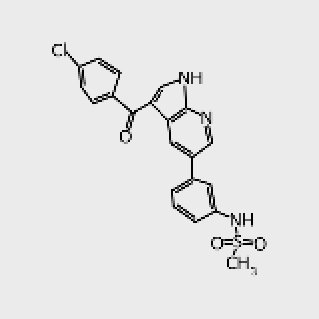 CS(=O)(=O)Nc1cccc(-c2cnc3[nH]cc(C(=O)c4ccc(Cl)cc4)c3c2)c1